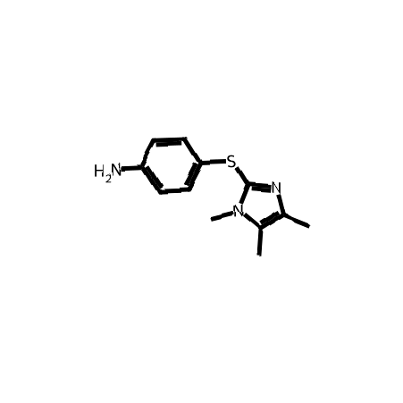 Cc1nc(Sc2ccc(N)cc2)n(C)c1C